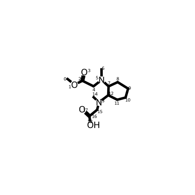 COC(=O)CN(C)C1CCCCC1N(C)CC(=O)O